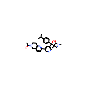 CC(=O)N1CCc2nc(-c3cncc([C@@](O)(c4ccc(C(C)C)cc4)C4(C)CN(C)C4)c3)ccc2C1